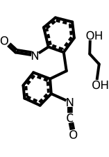 O=C=Nc1ccccc1Cc1ccccc1N=C=O.OCCO